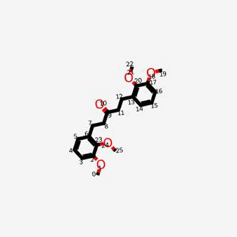 COc1cccc(CCC(=O)CCc2cccc(OC)c2OC)c1OC